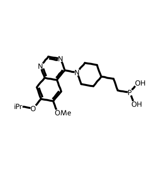 COc1cc2c(N3CCC(CCP(O)O)CC3)ncnc2cc1OC(C)C